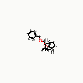 C=C1C[C@H]2CC[C@@H](C1)[C@@H]2OCOCc1ccccc1